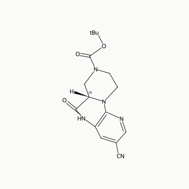 CC(C)(C)OC(=O)N1CCN2c3ncc(C#N)cc3NC(=O)[C@@H]2C1